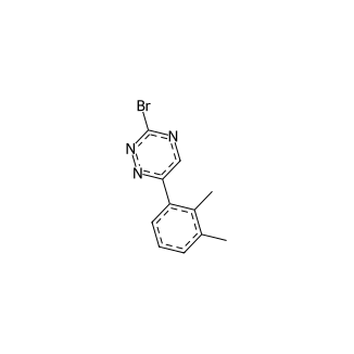 Cc1cccc(-c2cnc(Br)nn2)c1C